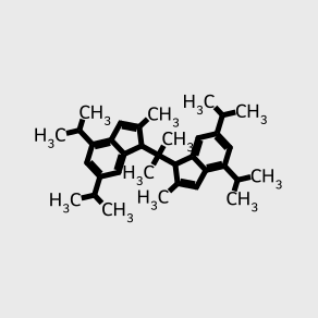 CC1=Cc2c(C(C)C)cc(C(C)C)cc2C1C(C)(C)C1C(C)=Cc2c(C(C)C)cc(C(C)C)cc21